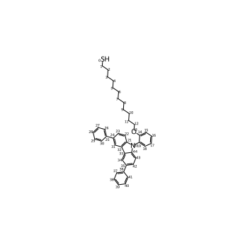 SCCCCCCCCCCCCOc1ccccc1-n1c2ccc(-c3ccccc3)cc2c2cc(-c3ccccc3)ccc21